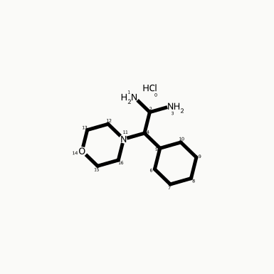 Cl.NC(N)C(C1CCCCC1)N1CCOCC1